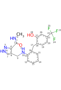 CNC(=O)c1n[nH]cc1CNc1ccccc1Cc1ccc(C(F)(F)F)cc1O